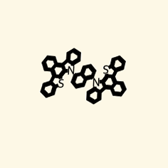 c1ccc2c(c1)sc1c2c2ccccc2c2c3ccccc3n(-c3cccc4c(-n5c6ccccc6c6c7ccccc7c7c8ccccc8sc7c65)cccc34)c12